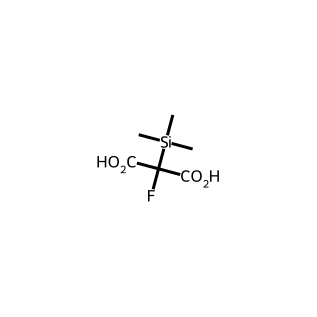 C[Si](C)(C)C(F)(C(=O)O)C(=O)O